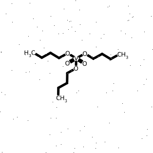 CCCC[O][V](=[O])(=[O])([O]CCCC)[O]CCCC